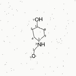 [O]CNC1CCC(O)CC1